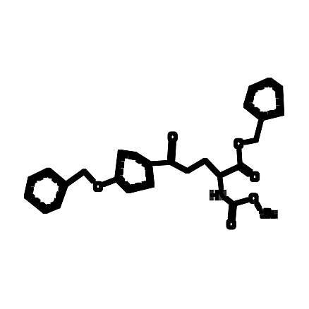 CC(C)(C)OC(=O)NC(CCC(=O)c1ccc(OCc2ccccc2)cc1)C(=O)OCc1ccccc1